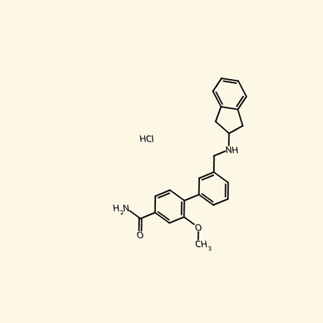 COc1cc(C(N)=O)ccc1-c1cccc(CNC2Cc3ccccc3C2)c1.Cl